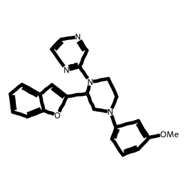 COc1cccc(N2CCN(c3cnccn3)C(c3cc4ccccc4o3)C2)c1